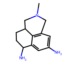 CN1Cc2cc(N)cc3c2C(CCC3N)C1